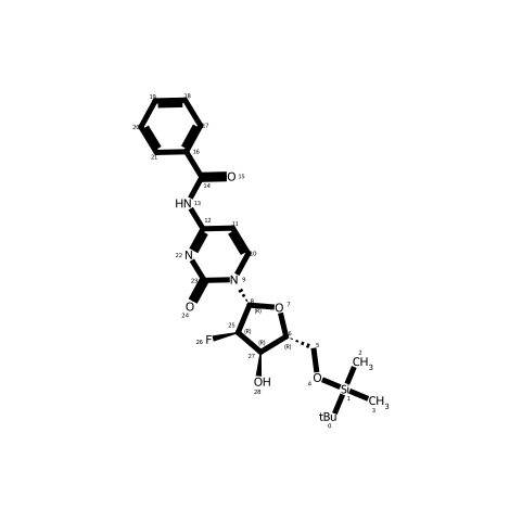 CC(C)(C)[Si](C)(C)OC[C@H]1O[C@@H](n2ccc(NC(=O)c3ccccc3)nc2=O)[C@H](F)[C@@H]1O